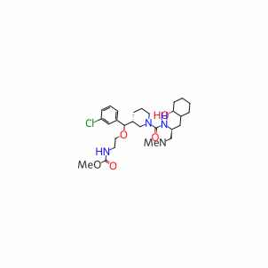 CNC[C@H](CC1CCCCC1O)NC(=O)N1CCC[C@@H]([C@@H](OCCNC(=O)OC)c2cccc(Cl)c2)C1